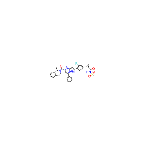 C[C@@H]1c2ccccc2CCN1C(=O)c1cc(-c2ccccc2)n2nc(-c3ccc([C@@H]4C[C@H]4C(=O)NS(C)(=O)=O)cc3F)cc2n1